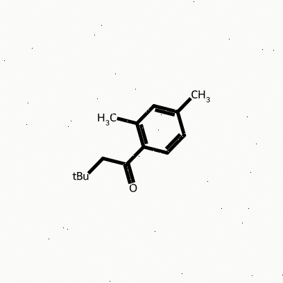 Cc1ccc(C(=O)CC(C)(C)C)c(C)c1